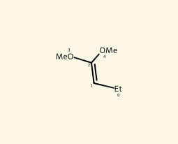 CCC=C(OC)OC